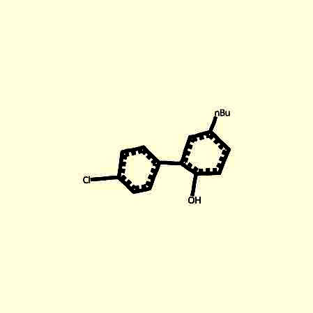 CCCCc1ccc(O)c(-c2ccc(Cl)cc2)c1